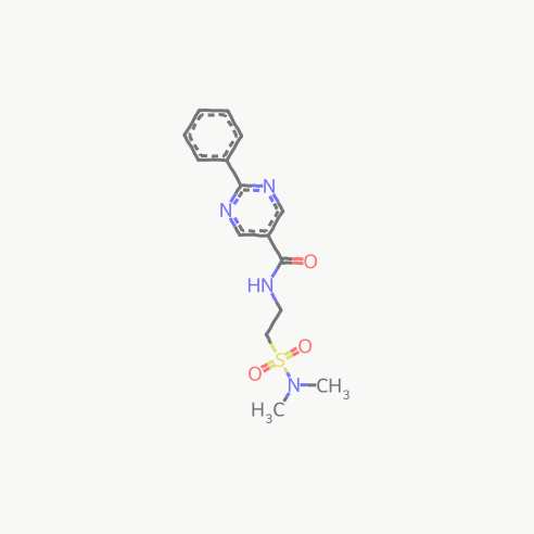 CN(C)S(=O)(=O)CCNC(=O)c1cnc(-c2ccccc2)nc1